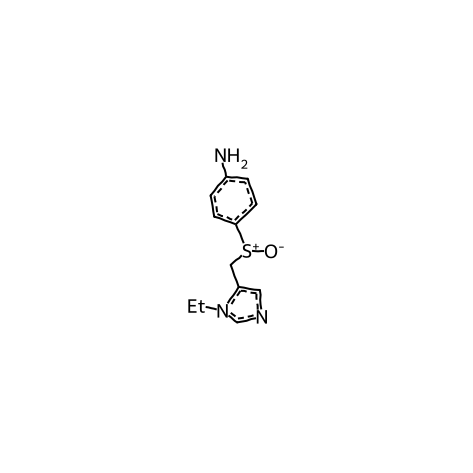 CCn1cncc1C[S+]([O-])c1ccc(N)cc1